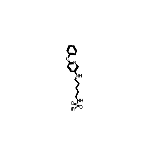 CC(C)S(=O)(=O)NCCCCCNc1ccc(Oc2ccccc2)nc1